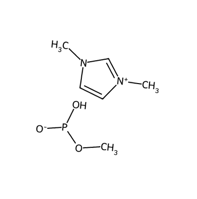 COP([O-])O.Cn1cc[n+](C)c1